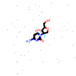 Nc1ccn([C@]2(F)COC(CO)[C@H]2O)c(=O)n1